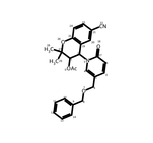 CC(=O)OC1C(n2cc(COCc3ccccc3)ccc2=O)c2cc(C#N)ccc2OC1(C)C